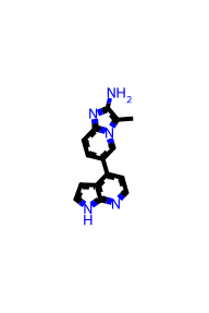 Cc1c(N)nc2ccc(-c3ccnc4[nH]ccc34)cn12